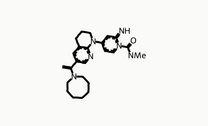 C=C(c1cnc2c(c1)CCCN2c1ccn(C(=O)NC)c(=N)c1)N1CCCCCCC1